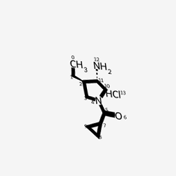 CC[C@@H]1CN(C(=O)C2CC2)C[C@H]1N.Cl